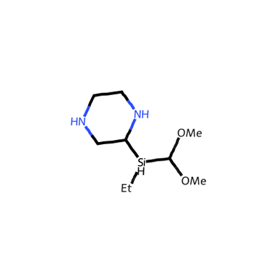 CC[SiH](C1CNCCN1)C(OC)OC